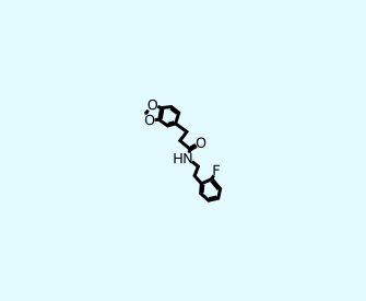 O=C(CCc1ccc2c(c1)OCO2)NCCc1ccccc1F